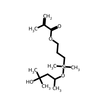 C=C(C)C(=O)OCCC[Si](C)(C)OC(C)CC(C)(C)O